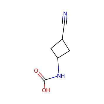 N#CC1CC(NC(=O)O)C1